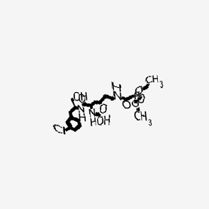 CCOP(=O)(CC(=O)NCCCCC(NC(=O)O)C(=O)N[C@H](CO)Cc1cccc(Cl)c1)OCC